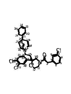 O=C(Cc1cccc(Cl)c1)N1CCOC(CC[N+]23CCC(c4ccccc4)(CC2)CC3)(c2ccc(Cl)c(Cl)c2)C1